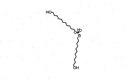 O=[PH](OCCCCCCCCCCCO)OCCCCCCCCCCCO